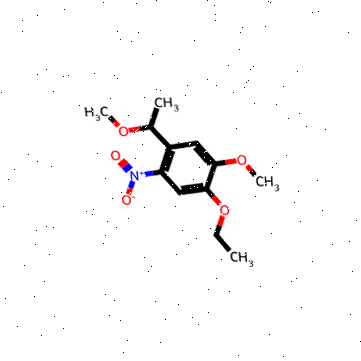 CCOc1cc([N+](=O)[O-])c(C(C)OC)cc1OC